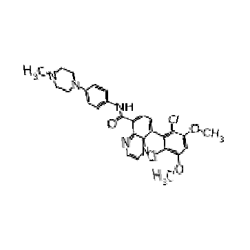 COc1cc(OC)c(Cl)c(-c2ccc(C(=O)Nc3ccc(N4CCN(C)CC4)cc3)c3nccnc23)c1Cl